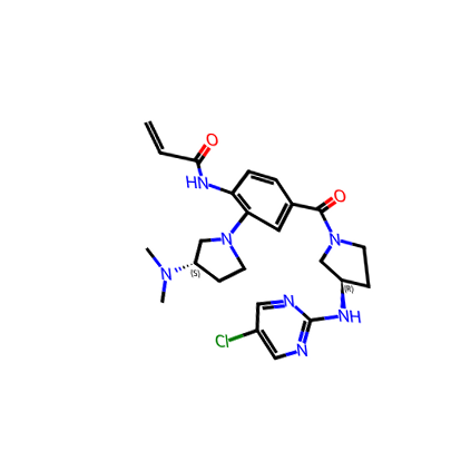 C=CC(=O)Nc1ccc(C(=O)N2CC[C@@H](Nc3ncc(Cl)cn3)C2)cc1N1CC[C@H](N(C)C)C1